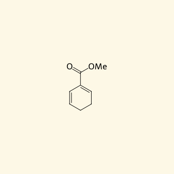 COC(=O)C1=CCCC=C1